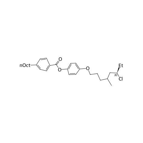 CCCCCCCCc1ccc(C(=O)Oc2ccc(OCCCC(C)C[C@H](Cl)CC)cc2)cc1